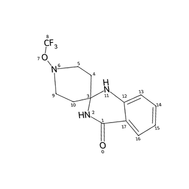 O=C1NC2(CCN(OC(F)(F)F)CC2)Nc2ccccc21